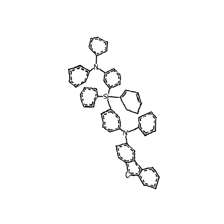 C1=CCCC([Si](c2ccccc2)(c2cccc(N(c3ccccc3)c3ccccc3)c2)c2cccc(N(c3ccccc3)c3ccc4oc5ccccc5c4c3)c2)=C1